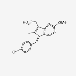 COc1ccc2c(c1)C(CC(=O)O)=C(C)C2=Cc1ccc(Cl)cc1